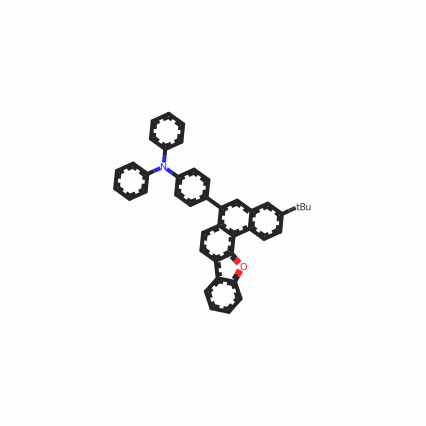 CC(C)(C)c1ccc2c(c1)cc(-c1ccc(N(c3ccccc3)c3ccccc3)cc1)c1ccc3c4ccccc4oc3c12